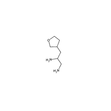 NCC(N)CC1CCOC1